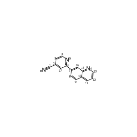 N#Cc1ccnc(-c2ccc3cccnc3c2)c1